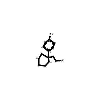 CC(C)CCC1(c2ccc(F)cc2)CCCCC1